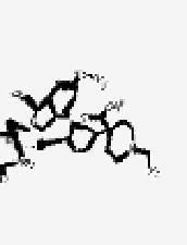 CCN1CCC(C(=O)O)(c2ccc(C#C[C@]3(CN4Cc5ccc(OC)cc5C4=O)NC(=O)NC3=O)cc2)CC1